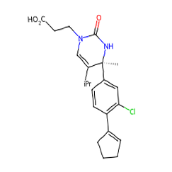 CC(C)C1=CN(CCC(=O)O)C(=O)N[C@@]1(C)c1ccc(C2=CCCC2)c(Cl)c1